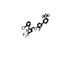 CS(=O)(=O)c1cccc(-c2ccc(OCc3cc(C(F)(F)F)nn3-c3ccccc3Cl)c(F)c2)c1